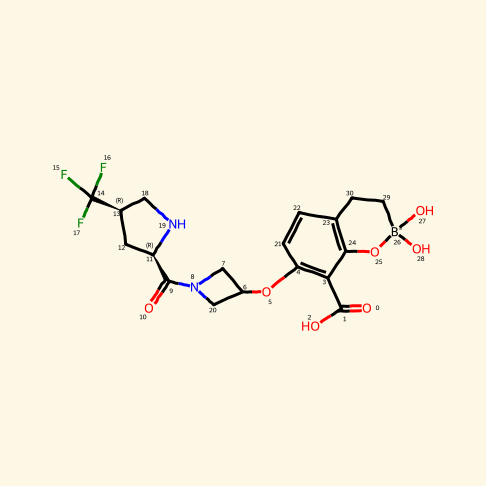 O=C(O)c1c(OC2CN(C(=O)[C@H]3C[C@@H](C(F)(F)F)CN3)C2)ccc2c1O[B-](O)(O)CC2